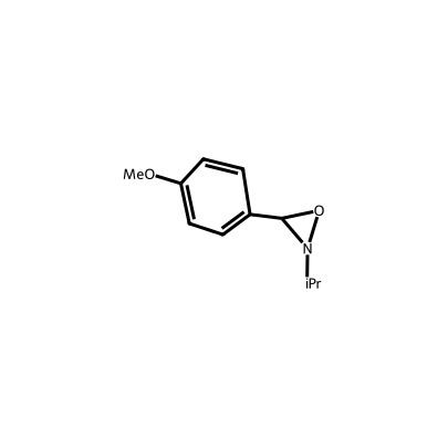 COc1ccc(C2ON2C(C)C)cc1